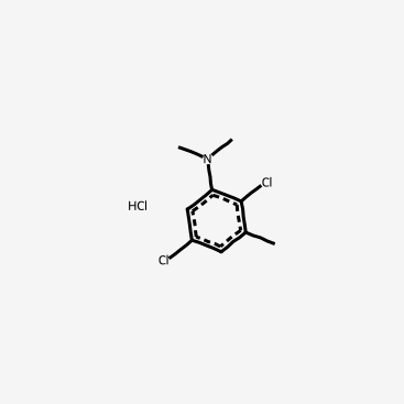 Cc1cc(Cl)cc(N(C)C)c1Cl.Cl